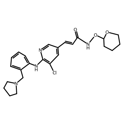 O=C(C=Cc1cnc(Nc2ccccc2CN2CCCC2)c(Cl)c1)NOC1CCCCO1